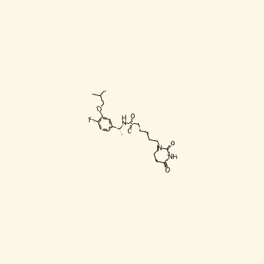 CC(C)COc1cc([C@@H](C)NS(=O)(=O)CCCCCN2CCC(=O)NC2=O)ccc1F